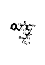 CC[C@H](C)[C@H](NC(=O)[C@H](C)N(C)C(=O)[C@H](CC(C)C)N(C)C(=O)OCc1ccccc1)C(=O)O